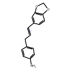 Nc1ccc(C/C=C/c2ccc3c(c2)OCO3)cc1